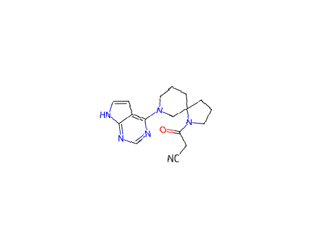 N#CCC(=O)N1CCCC12CCCN(c1ncnc3[nH]ccc13)C2